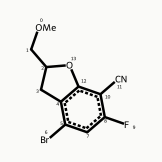 COCC1Cc2c(Br)cc(F)c(C#N)c2O1